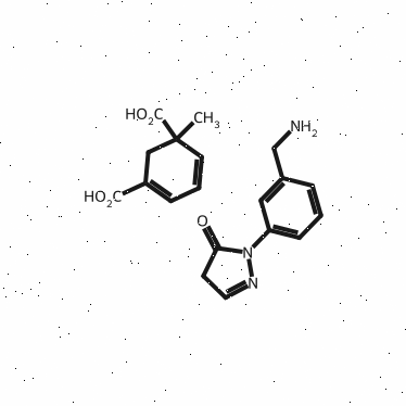 CC1(C(=O)O)C=CC=C(C(=O)O)C1.NCc1cccc(N2N=CCC2=O)c1